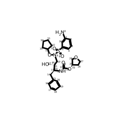 Nc1cccc(S(=O)(=O)N(C[C@@H](O)[C@H](Cc2ccccc2)NC(=O)O[C@H]2CCOC2)OC2CCCC2)c1